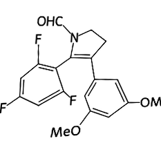 COc1cc(OC)cc(C2=C(c3c(F)cc(F)cc3F)N(C=O)CC2)c1